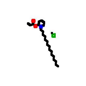 C=CC(=O)Oc1cccc[n+]1CCCCCCCCCCCCCCCC.CCl